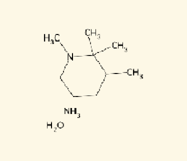 CC1CCCN(C)C1(C)C.N.O